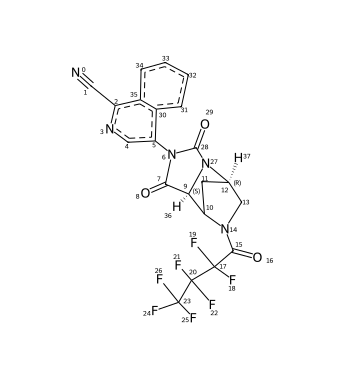 N#Cc1ncc(N2C(=O)[C@@H]3C4C[C@H](CN4C(=O)C(F)(F)C(F)(F)C(F)(F)F)N3C2=O)c2ccccc12